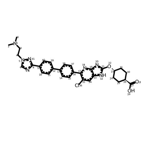 CN(C)CCn1cnc(-c2ccc(-c3ccc(-c4nc5nc(O[C@H]6CC[C@H](C(=O)O)CC6)[nH]c5cc4Cl)cc3)cc2)n1